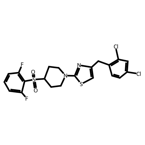 O=S(=O)(c1c(F)cccc1F)C1CCN(c2nc(Cc3ccc(Cl)cc3Cl)cs2)CC1